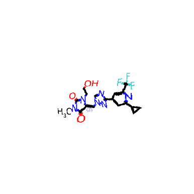 CN1C(=O)/C(=C/n2cnc(-c3cc(C4CC4)nc(C(F)(F)F)c3)n2)N(CCO)C1=O